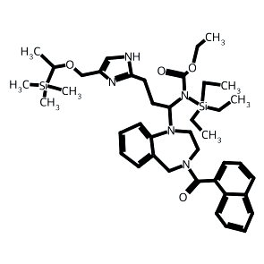 CCOC(=O)N(C(CCc1nc(COC(C)[Si](C)(C)C)c[nH]1)N1CCN(C(=O)c2cccc3ccccc23)Cc2ccccc21)[Si](CC)(CC)CC